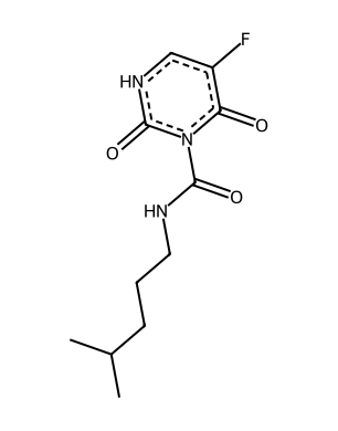 CC(C)CCCNC(=O)n1c(=O)[nH]cc(F)c1=O